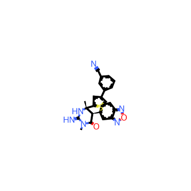 CN1C(=N)N[C@](C)(c2cc(-c3cccc(C#N)c3)cs2)[C@@H](c2ccc3nonc3c2)C1=O